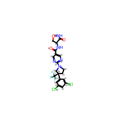 O=C(NC1CONC1=O)c1cnc(N2CCC(c3cc(Cl)cc(Cl)c3)(C(F)(F)F)C2)nc1